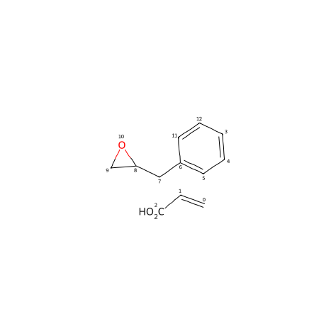 C=CC(=O)O.c1ccc(CC2CO2)cc1